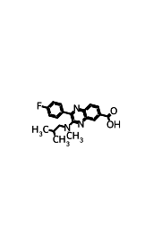 CC(C)CN(C)c1nc2cc(C(=O)O)ccc2nc1-c1ccc(F)cc1